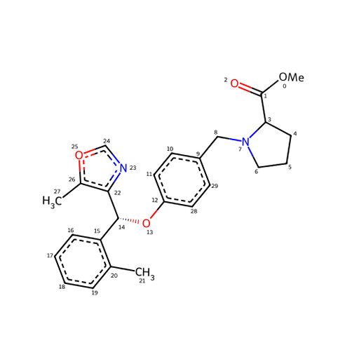 COC(=O)C1CCCN1Cc1ccc(O[C@H](c2ccccc2C)c2ncoc2C)cc1